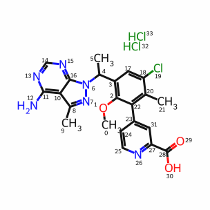 COc1c(C(C)n2nc(C)c3c(N)ncnc32)cc(Cl)c(C)c1-c1ccnc(C(=O)O)c1.Cl.Cl